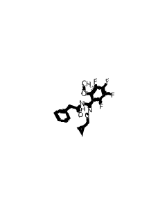 COc1c(F)c(F)c(F)c(F)c1C(=NOCC1CC1)NC(=O)Cc1ccccc1